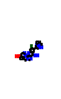 CN/C=C(\C=N)c1cc(C(=N)c2cc(N3CCCC(C)(O)C3)ncn2)c(N)cc1F